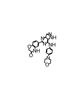 O=C1COc2ccc(-c3nc(Nc4ccc(N5CCOCC5)cc4)c4[nH]ncc4n3)cc2N1